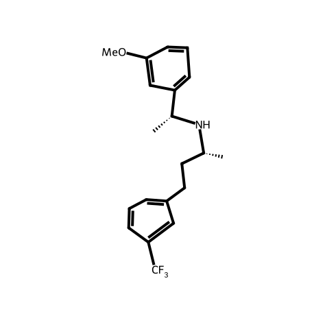 COc1cccc([C@@H](C)N[C@H](C)CCc2cccc(C(F)(F)F)c2)c1